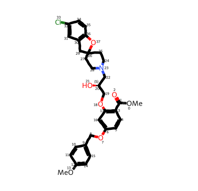 COC(=O)c1ccc(OCc2ccc(OC)cc2)cc1OC[C@@H](O)CN1CCC2(CC1)Cc1cc(Cl)ccc1O2